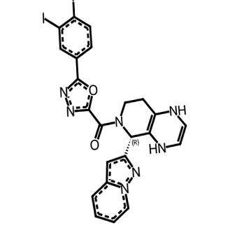 O=C(c1nnc(-c2ccc(I)c(I)c2)o1)N1CCC2=C(NC=CN2)[C@@H]1c1cc2ccccn2n1